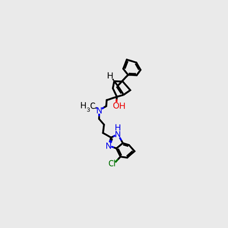 CN(CCCc1nc2c(Cl)cccc2[nH]1)CCC1(O)C[C@@H]2CCC1C=C2c1ccccc1